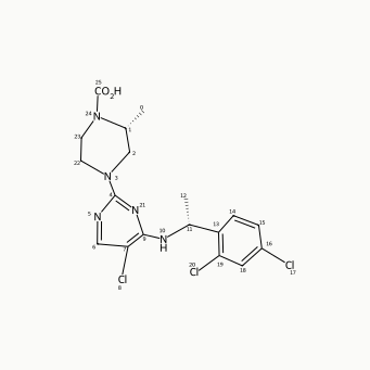 C[C@@H]1CN(c2ncc(Cl)c(N[C@H](C)c3ccc(Cl)cc3Cl)n2)CCN1C(=O)O